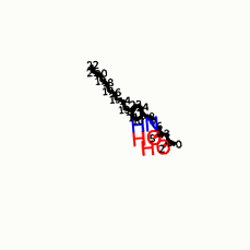 C=C(O)CC(O)CNCc1ccc(CCCCCCCCCC)cc1